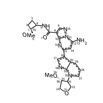 CO[C@H]1CCC1NC(=O)c1cnn2c(N)cc(-c3cnc4n(C5COC[C@@H]5OC)cccc3-4)nc12